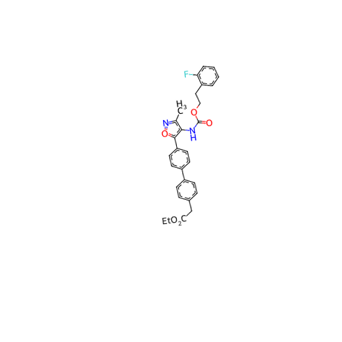 CCOC(=O)Cc1ccc(-c2ccc(-c3onc(C)c3NC(=O)OCCc3ccccc3F)cc2)cc1